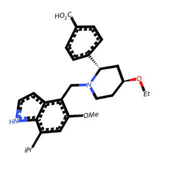 CCO[C@H]1CCN(Cc2c(OC)cc(C(C)C)c3[nH]ccc23)[C@H](c2ccc(C(=O)O)cc2)C1